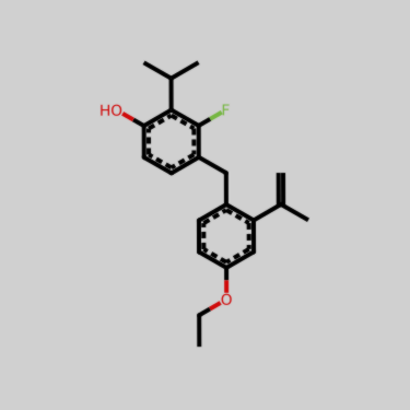 C=C(C)c1cc(OCC)ccc1Cc1ccc(O)c(C(C)C)c1F